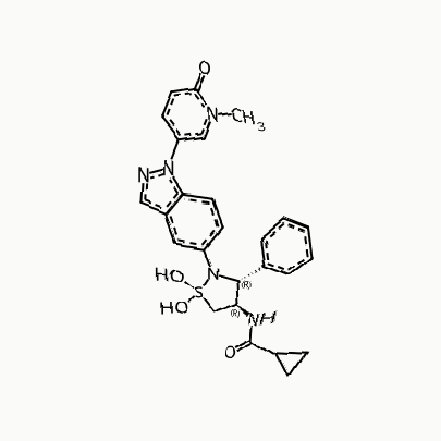 Cn1cc(-n2ncc3cc(N4[C@H](c5ccccc5)[C@@H](NC(=O)C5CC5)CS4(O)O)ccc32)ccc1=O